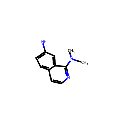 CN(C)c1nccc2ccc([NH])cc12